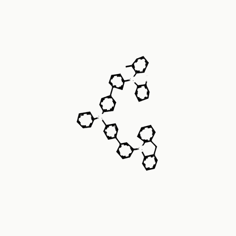 CCc1ccccc1N(c1cccc(-c2ccc(N(c3ccccc3)c3ccc(-c4cccc(N5c6ccccc6Cc6ccccc65)c4)cc3)cc2)c1)c1ccccc1C